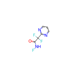 O=C(NF)C(F)(F)c1ncccn1